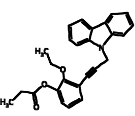 CCOc1c(C#CCn2c3ccccc3c3ccccc32)cccc1OC(=O)CC